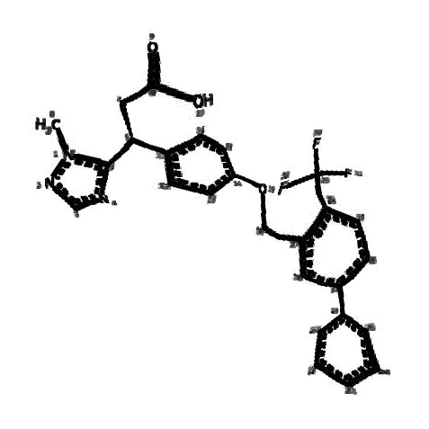 Cn1ncnc1[C@@H](CC(=O)O)c1ccc(OCc2cc(-c3ccccc3)ccc2C(F)(F)F)cc1